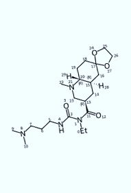 CCN(C(=O)NCCCN(C)C)C(=O)[C@@H]1C[C@@H]2CC3(CC[C@H]2N(C)C1)OCCO3